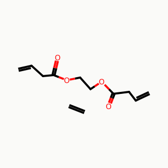 C=C.C=CCC(=O)OCCOC(=O)CC=C